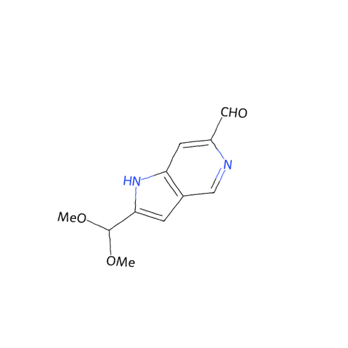 COC(OC)c1cc2cnc(C=O)cc2[nH]1